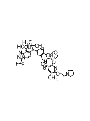 Cc1ccc([C@@H](c2ccn3c(C(F)F)nnc3c2C)C(C)(C)C(=O)O)cc1CN1CC2(CCOCC2)Oc2nc(OCCN3CCCC3)c(C)cc2S1(=O)=O